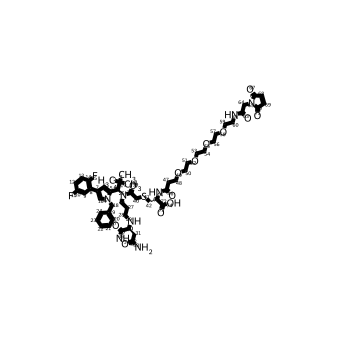 CC(C)(C)[C@H](c1cc(-c2cc(F)ccc2F)cn1Cc1ccccc1)N(CCCN[C@@H](CC(N)=O)C(N)=O)C(=O)CSC[C@H](NC(=O)CCOCCOCCOCCOCCNC(=O)CN1C(=O)C=CC1=O)C(=O)O